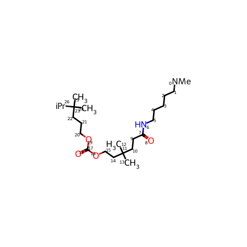 CNCCCCCNC(=O)CCC(C)(C)CCOC(=O)OCCCC(C)(C)C(C)C